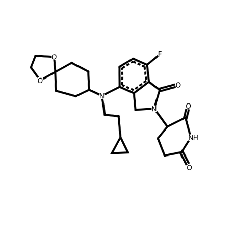 O=C1CCC(N2Cc3c(N(CCC4CC4)C4CCC5(CC4)OCCO5)ccc(F)c3C2=O)C(=O)N1